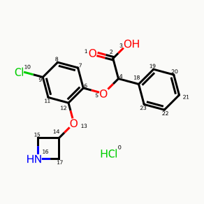 Cl.O=C(O)C(Oc1ccc(Cl)cc1OC1CNC1)c1ccccc1